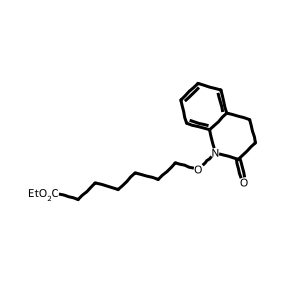 CCOC(=O)CCCCCCON1C(=O)CCc2ccccc21